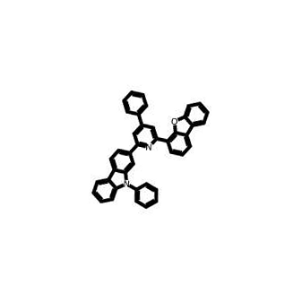 c1ccc(-c2cc(-c3ccc4c5ccccc5n(-c5ccccc5)c4c3)nc(-c3cccc4c3oc3ccccc34)c2)cc1